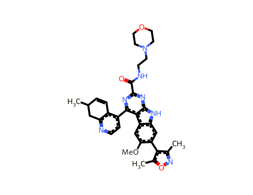 COc1cc2c(cc1-c1c(C)noc1C)[nH]c1nc(C(=O)NCCN3CCOCC3)nc(-c3ccnc4c3C=CC(C)C4)c12